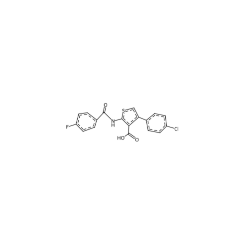 O=C(Nc1scc(-c2ccc(Cl)cc2)c1C(=O)O)c1ccc(F)cc1